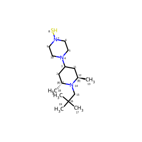 C[C@@H]1CC(N2CCN(S)CC2)C[C@@H](C)N1CC(C)(C)C